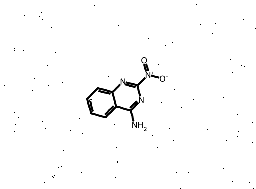 Nc1nc([N+](=O)[O-])nc2ccccc12